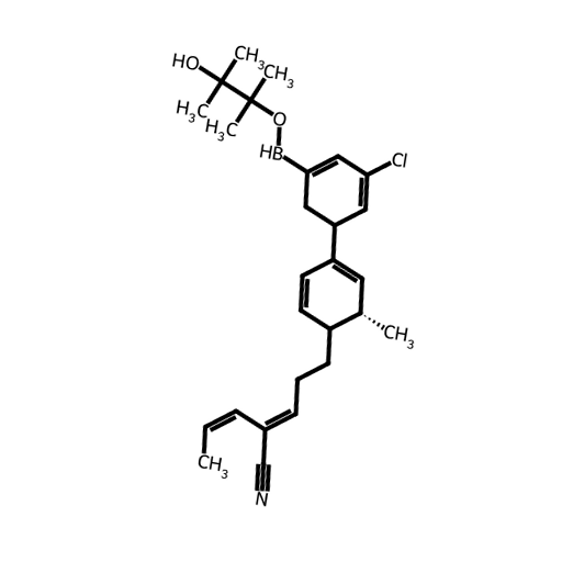 C/C=C\C(C#N)=C/CCC1C=CC(C2C=C(Cl)C=C(BOC(C)(C)C(C)(C)O)C2)=C[C@@H]1C